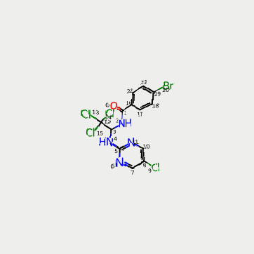 O=C(NC(Nc1ncc(Cl)cn1)C(Cl)(Cl)Cl)c1ccc(Br)cc1